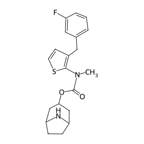 CN(C(=O)OC1CC2CCC(C1)N2)c1sccc1Cc1cccc(F)c1